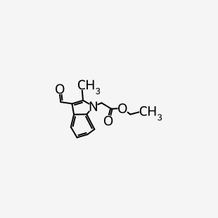 CCOC(=O)Cn1c(C)c(C=O)c2ccccc21